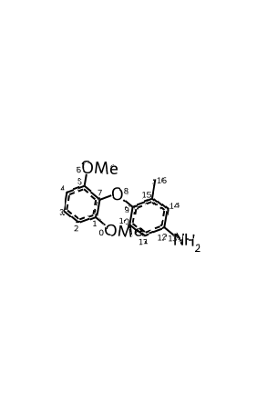 COc1c[c]cc(OC)c1Oc1ccc(N)cc1C